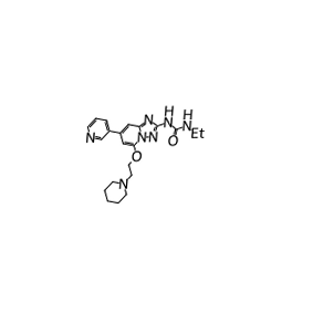 CCNC(=O)Nc1nc2cc(-c3cccnc3)cc(OCCN3CCCCC3)n2n1